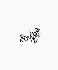 O=C(NCCO[N+](=O)[O-])c1ccc(Br)o1